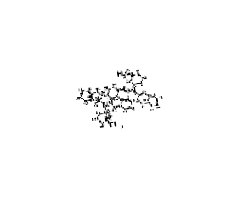 Cc1cccc(N(c2ccc3ccccc3c2)c2cc3cccc4c(N(c5cccc(C)c5)c5ccc6ccccc6c5)cc5cccc2c5c34)c1